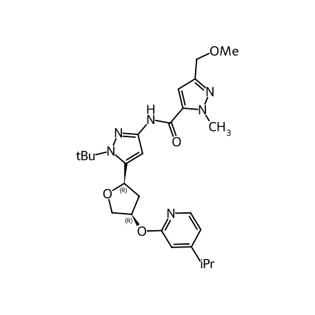 COCc1cc(C(=O)Nc2cc([C@H]3C[C@@H](Oc4cc(C(C)C)ccn4)CO3)n(C(C)(C)C)n2)n(C)n1